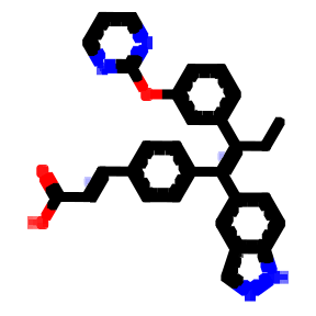 CC/C(=C(/c1ccc(/C=C/C(=O)O)cc1)c1ccc2[nH]ncc2c1)c1cccc(Oc2ncccn2)c1